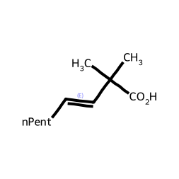 CCCCC/C=C/C(C)(C)C(=O)O